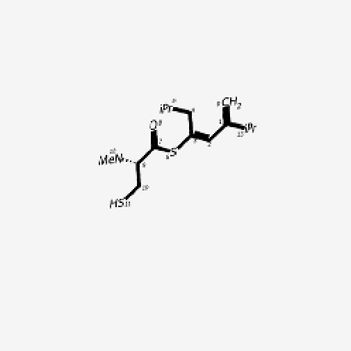 C=C(/C=C(\CC(C)C)SC(=O)[C@H](CS)NC)C(C)C